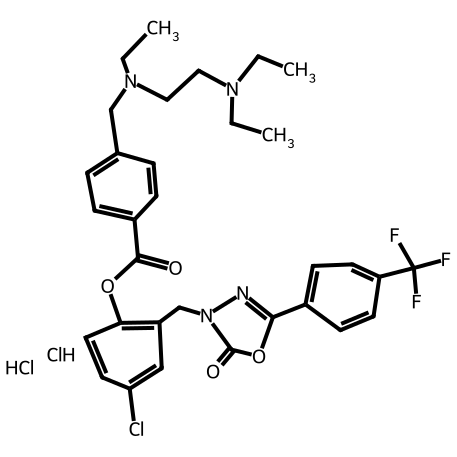 CCN(CC)CCN(CC)Cc1ccc(C(=O)Oc2ccc(Cl)cc2Cn2nc(-c3ccc(C(F)(F)F)cc3)oc2=O)cc1.Cl.Cl